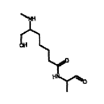 CNC(CO)CCCCC(=O)NC(C)C=O